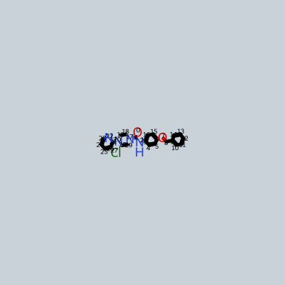 O=C(Nc1ccc(OCc2ccccc2)cc1)N1CCN(c2ncccc2Cl)CC1